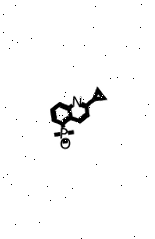 CP(C)(=O)c1cccc2nc(C3CC3)ccc12